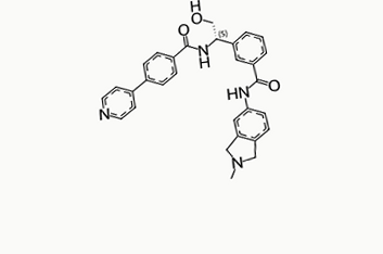 CN1Cc2ccc(NC(=O)c3cccc([C@@H](CO)NC(=O)c4ccc(-c5ccncc5)cc4)c3)cc2C1